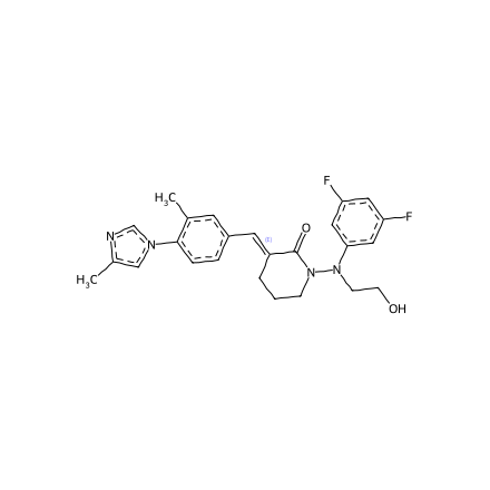 Cc1cn(-c2ccc(/C=C3\CCCN(N(CCO)c4cc(F)cc(F)c4)C3=O)cc2C)cn1